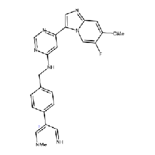 CN/C=C(\C=N)c1ccc(CNc2cc(-c3cnc4cc(OC)c(F)cn34)ncn2)cc1